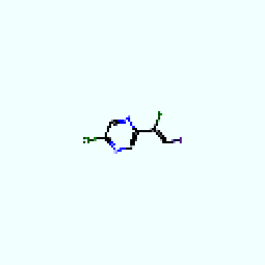 FC(=CI)c1cnc(Cl)cn1